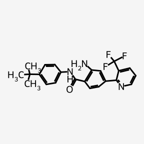 CC(C)(C)c1ccc(NC(=O)c2ccc(-c3ncccc3C(F)(F)F)cc2N)cc1